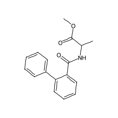 COC(=O)C(C)NC(=O)c1ccccc1-c1ccccc1